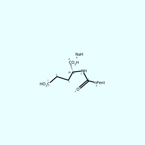 CCCCCC(=O)N[C@H](CCC(=O)O)C(=O)O.[NaH]